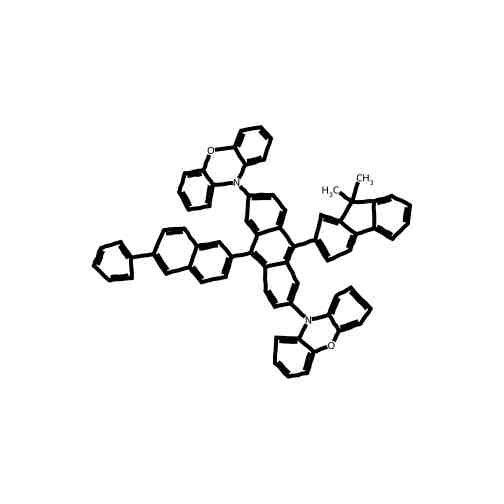 CC1(C)c2ccccc2-c2ccc(-c3c4ccc(N5c6ccccc6Oc6ccccc65)cc4c(-c4ccc5cc(-c6ccccc6)ccc5c4)c4ccc(N5c6ccccc6Oc6ccccc65)cc34)cc21